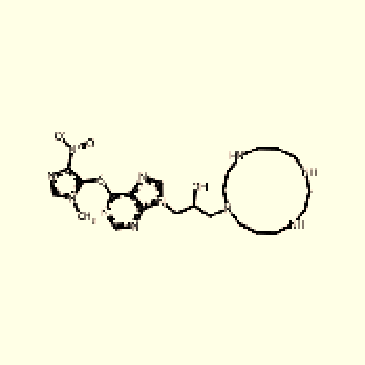 Cn1cnc([N+](=O)[O-])c1Sc1ncnc2c1ncn2CC(O)CN1CCCNCCNCCCNCC1